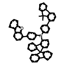 CC1(C)c2ccccc2-c2cccc(-c3ccc(N(c4ccc(-c5cccc6c5oc5ccccc56)cc4)c4cccc5c4-c4ccccc4C54c5ccccc5-c5ccccc54)cc3)c21